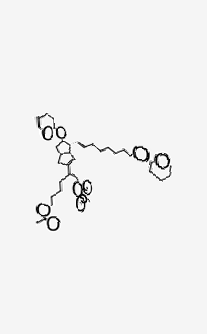 CC(=O)OCCCCC(COS(C)(=O)=O)C1=CC2C(C1)C[C@@H](OC1CCCCO1)[C@@H]2C=CCCCCCCOC1CCCCO1